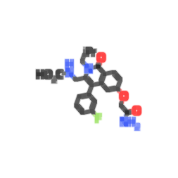 CC(C)Cn1c(CNC(=O)O)c(-c2cccc(F)c2)c2cc(OCC(N)=O)ccc2c1=O